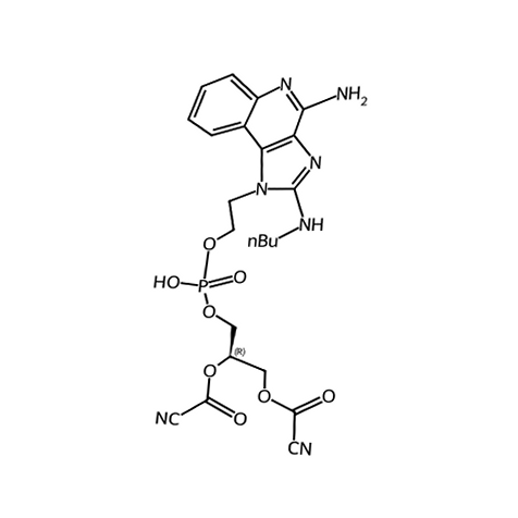 CCCCNc1nc2c(N)nc3ccccc3c2n1CCOP(=O)(O)OC[C@@H](COC(=O)C#N)OC(=O)C#N